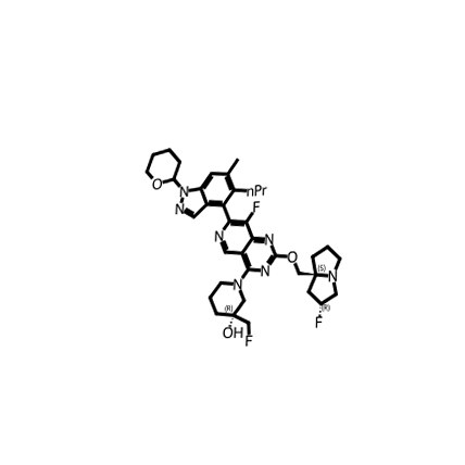 CCCc1c(C)cc2c(cnn2C2CCCCO2)c1-c1ncc2c(N3CCC[C@](O)(CF)C3)nc(OC[C@@]34CCCN3C[C@H](F)C4)nc2c1F